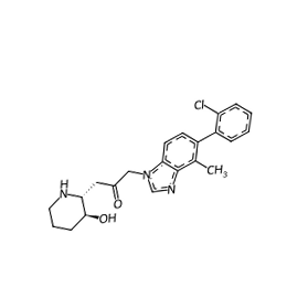 Cc1c(-c2ccccc2Cl)ccc2c1ncn2CC(=O)C[C@H]1NCCC[C@@H]1O